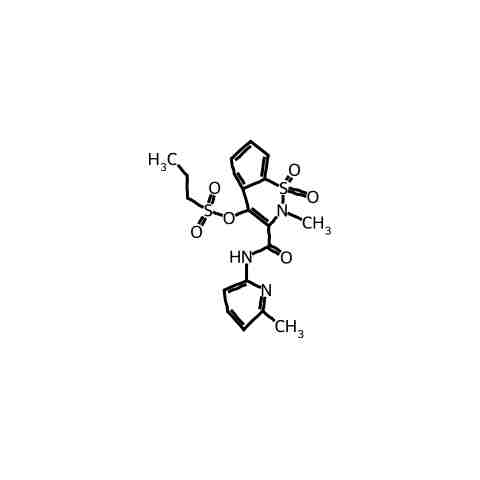 CCCS(=O)(=O)OC1=C(C(=O)Nc2cccc(C)n2)N(C)S(=O)(=O)c2ccccc21